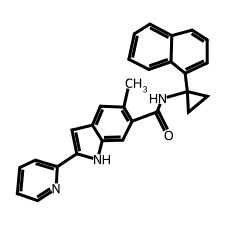 Cc1cc2cc(-c3ccccn3)[nH]c2cc1C(=O)NC1(c2cccc3ccccc23)CC1